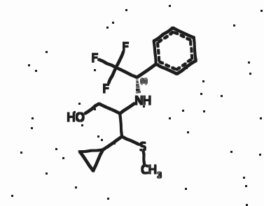 CSC(C1CC1)C(CO)N[C@@H](c1ccccc1)C(F)(F)F